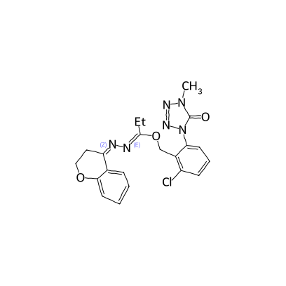 CC/C(=N\N=C1\CCOc2ccccc21)OCc1c(Cl)cccc1-n1nnn(C)c1=O